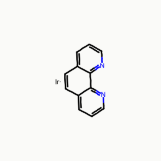 [Ir].c1cnc2c(c1)ccc1cccnc12